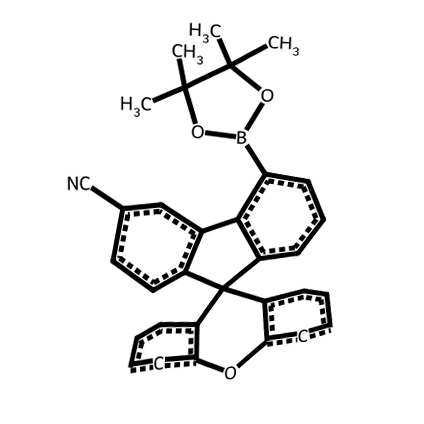 CC1(C)OB(c2cccc3c2-c2cc(C#N)ccc2C32c3ccccc3Oc3ccccc32)OC1(C)C